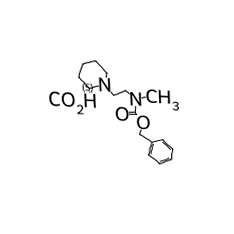 CN(CCN1CCCC[C@H]1C(=O)O)C(=O)OCc1ccccc1